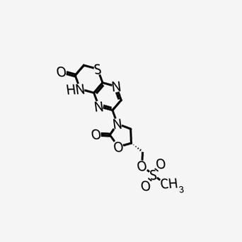 CS(=O)(=O)OC[C@H]1CN(c2cnc3c(n2)NC(=O)CS3)C(=O)O1